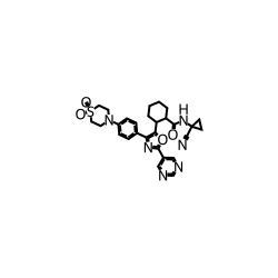 N#CC1(NC(=O)C2CCCCC2c2oc(-c3cncnc3)nc2-c2ccc(N3CCS(=O)(=O)CC3)cc2)CC1